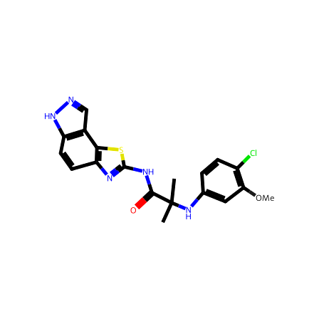 COc1cc(NC(C)(C)C(=O)Nc2nc3ccc4[nH]ncc4c3s2)ccc1Cl